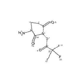 NC1CCC(=O)N(OC(=O)C(F)(F)F)C1=O